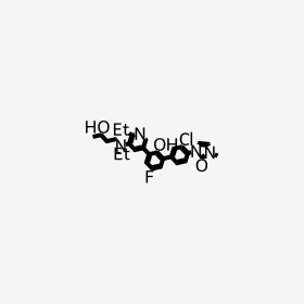 CCc1ncc(-c2cc(F)cc(-c3ccc(-n4ccn(C)c4=O)c(Cl)c3)c2O)cc1N(CC)CCC(C)O